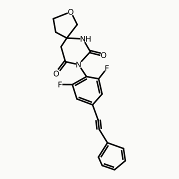 O=C1CC2(CCOC2)NC(=O)N1c1c(F)cc(C#Cc2ccccc2)cc1F